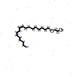 CCCCC/C=C\C/C=C\CCCCCCCCOCC=O